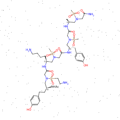 CC(=O)N[C@@H](CCc1ccc(O)cc1)CN(CC(=O)N[C@@H](CCCCN)CN(CC(=O)N[C@@H](Cc1ccc(O)cc1)CN(CC(=O)N[C@@H](C)CN(CC(N)=O)S(C)(=O)=O)S(C)(=O)=O)S(C)(=O)=O)S(=O)(=O)CCN